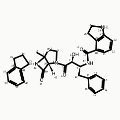 CC12SCN(C(=O)[C@@H](O)[C@H](Cc3ccccc3)NC(=O)c3cccc4c3CCN4)[C@@H]1C(=O)N2[C@H]1CCc2ccccc21